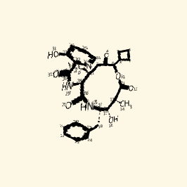 C[C@H]1CC(=O)C(C2CCC2)OC(=O)[C@H](C)[C@H](O)[C@H](Cc2ccccc2)NC(=O)[C@H]1NC(=O)c1ncccc1O